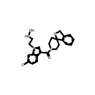 O=C(c1cn(CCNO)c2cc(Cl)ccc12)N1CCC2(CC1)OCc1ccccc12